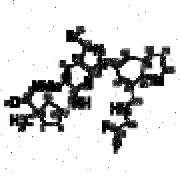 CNC(=O)[C@]1(C)CC[C@@H](Nc2ncc3c(Br)nn(-c4cc(CNCC(F)F)c5ncccc5c4)c3n2)C1